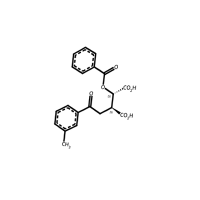 Cc1cccc(C(=O)C[C@H](C(=O)O)[C@H](OC(=O)c2ccccc2)C(=O)O)c1